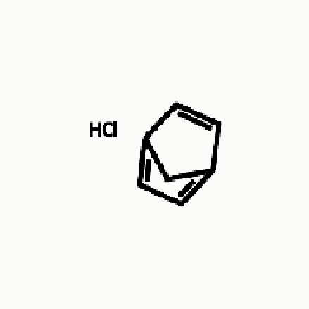 C1=CC2=CC=C1C2.Cl